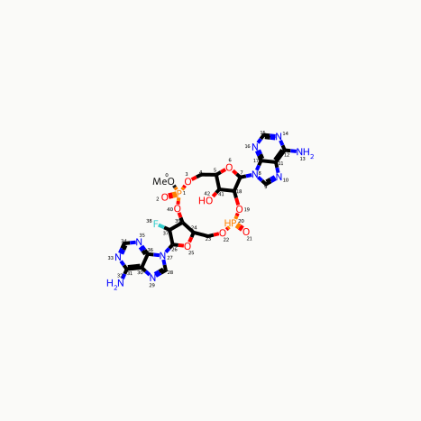 COP1(=O)OCC2OC(n3cnc4c(N)ncnc43)C(O[PH](=O)OCC3OC(n4cnc5c(N)ncnc54)C(F)C3O1)C2O